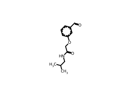 CC(C)CNC(=O)COc1cccc([C]=O)c1